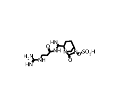 N=C(N)NCCC(=O)NC(=N)C1CCC2CN1C(=O)N2OS(=O)(=O)O